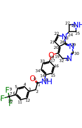 O=C(Cc1ccc(C(F)(F)F)cc1)Nc1ccc(OC2=c3ccn(C4CNC4)c3=NC=NC2)cc1